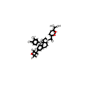 O=C(N1CCC2(S(=O)(=O)c3ccc(Cl)c(Cl)c3)c3ccc(C(F)(C(F)(F)F)C(F)(F)F)cc3CCC12)C12CCC(C(O)O)(CC1)CC2